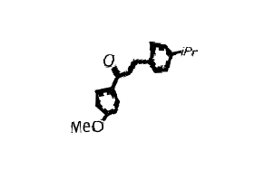 COc1ccc(C(=O)/C=C/c2ccc(C(C)C)cc2)cc1